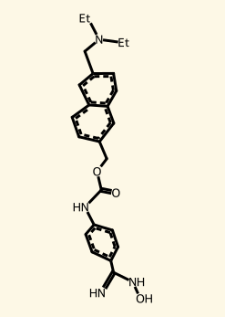 CCN(CC)Cc1ccc2cc(COC(=O)Nc3ccc(C(=N)NO)cc3)ccc2c1